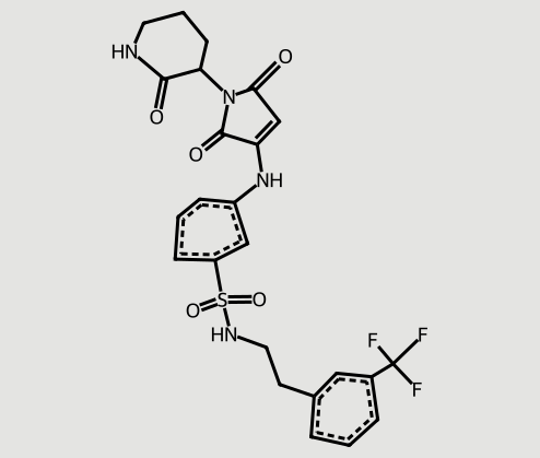 O=C1NCCCC1N1C(=O)C=C(Nc2cccc(S(=O)(=O)NCCc3cccc(C(F)(F)F)c3)c2)C1=O